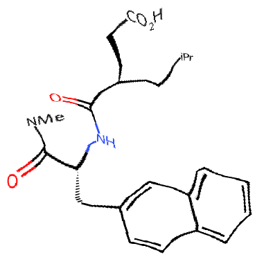 CNC(=O)[C@@H](Cc1ccc2ccccc2c1)NC(=O)[C@@H](CC(=O)O)CC(C)C